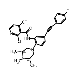 C[C@@H]1CN(c2ccc(C#Cc3ccc(F)cc3)cc2NC(=O)c2c(C(F)(F)F)ccnc2Cl)C[C@H](C)N1C